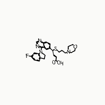 O=C(O)C=CC(SCCCN1CCOCC1)c1ccc2ncnc(N3CCc4ccc(F)cc43)c2c1